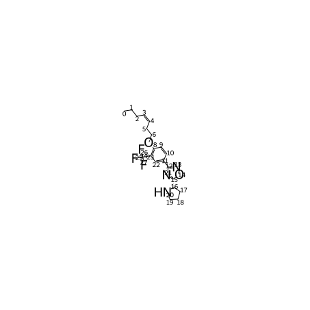 CCC/C=C\CCOc1ccc(-c2noc([C@@H]3CCCN3)n2)cc1C(F)(F)F